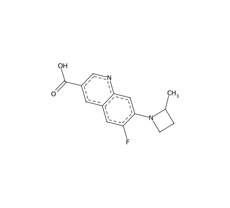 CC1CCN1c1cc2ncc(C(=O)O)cc2cc1F